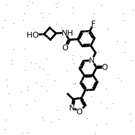 Cc1nocc1-c1ccc2c(=O)n(Cc3cc(F)cc(C(=O)NC4CC(O)C4)c3)ccc2c1